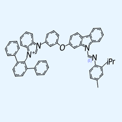 Cc1ccc(/N=C/n2c3ccccc3c3ccc(Oc4cccc(-n5c[n+](-c6c(-c7ccccc7)cccc6-c6ccccc6)c6ccccc65)c4)cc32)c(C(C)C)c1